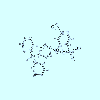 C[P+](c1ccccc1)(c1ccccc1)c1ccccc1.O=[N+]([O-])c1ccc(S(=O)(=O)[O-])c([N+](=O)[O-])c1